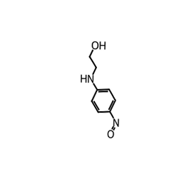 O=Nc1ccc(NCCO)cc1